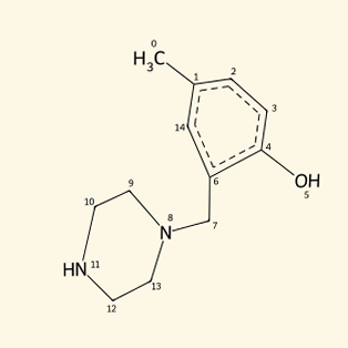 Cc1ccc(O)c(CN2CCNCC2)c1